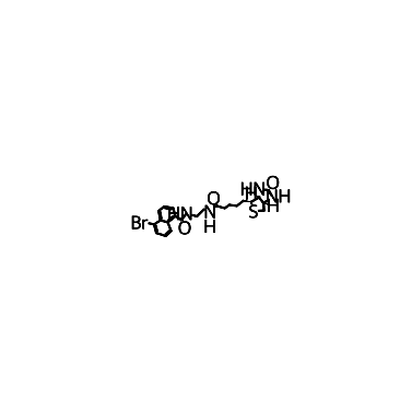 O=C(CCCC[C@@H]1SC[C@@H]2NC(=O)N[C@@H]21)NCCNC(=O)c1cccc2c(Br)cccc12